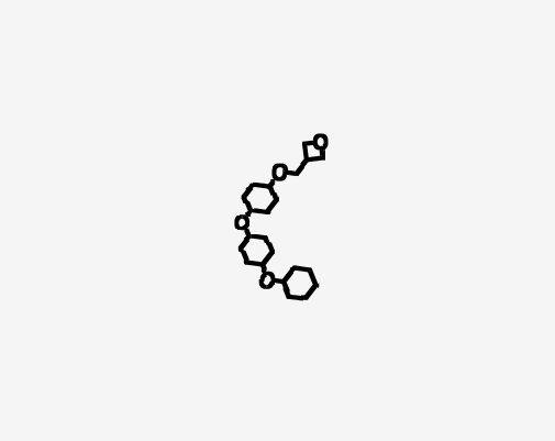 C1CCC(OC2CCC(OC3CCC(OCC4COC4)CC3)CC2)CC1